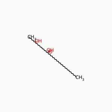 CCCCCCCCCCCCCCCCCCCCCCCCCCCCC(CCCCCCCCCCCC(O)CCCCCC)C(=O)O